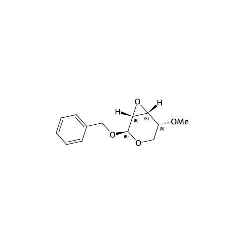 CO[C@@H]1CO[C@@H](OCc2ccccc2)[C@@H]2O[C@@H]21